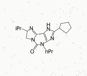 CCCN1C(=O)N2CC(C(C)C)N=C2c2[nH]c(C3CCCC3)nc21